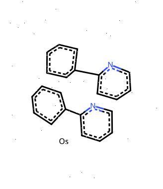 [Os].c1ccc(-c2ccccn2)cc1.c1ccc(-c2ccccn2)cc1